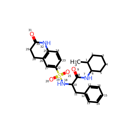 CC1CCCCC1NC(=O)C(Cc1ccccc1)NS(=O)(=O)c1ccc2c(c1)CCC(=O)N2